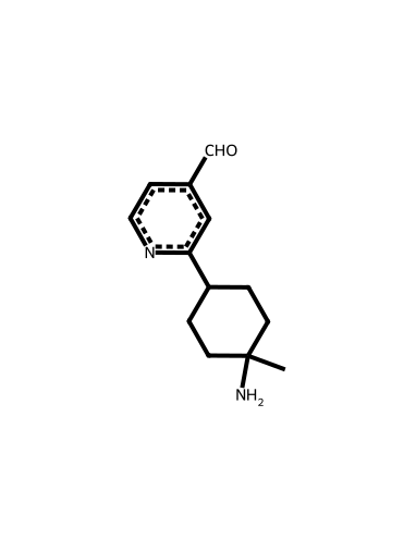 CC1(N)CCC(c2cc(C=O)ccn2)CC1